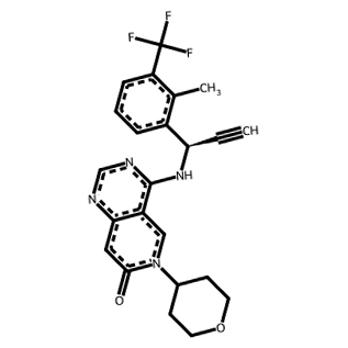 C#C[C@@H](Nc1ncnc2cc(=O)n(C3CCOCC3)cc12)c1cccc(C(F)(F)F)c1C